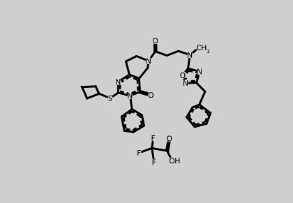 CN(CCC(=O)N1CCc2nc(SC3CCC3)n(-c3ccccc3)c(=O)c2C1)c1nc(Cc2ccccc2)no1.O=C(O)C(F)(F)F